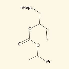 C=CC(CCCCCCCC)OC(=O)OC(C)C(C)C